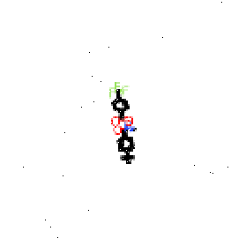 CN(OC(=O)c1ccc(C(F)(F)F)cc1)C(=O)c1ccc(C(C)(C)C)cc1